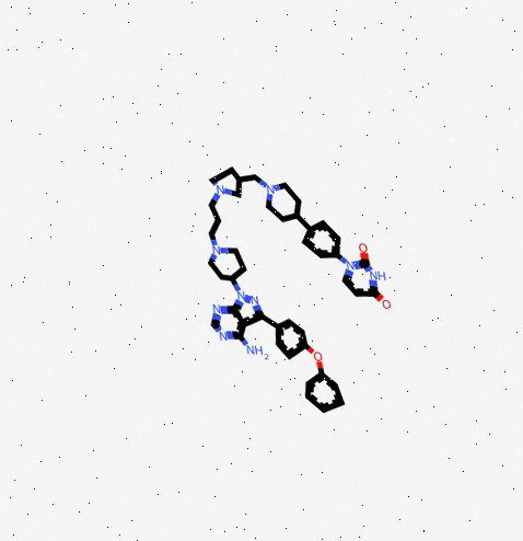 Nc1ncnc2c1c(-c1ccc(Oc3ccccc3)cc1)nn2C1CCN(CCCN2CCC(CN3CCC(c4ccc(-n5ccc(=O)[nH]c5=O)cc4)CC3)C2)CC1